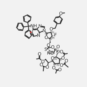 COc1ccc(CO[C@@H]2[C@H](F)[C@@H](COP(O)(=S)OP(=O)(O)O[C@@H]3O[C@H](C(COC(C)=O)OC(C)=O)[C@@H](OC(C)=O)[C@H](OC(C)=O)[C@@H]3OC(C)=O)O[C@H]2n2cnc3c(NC(c4ccccc4)(c4ccccc4)c4ccccc4)ncnc32)cc1